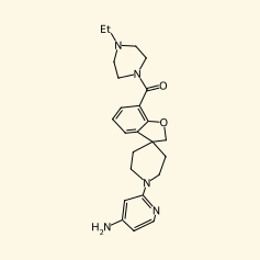 CCN1CCN(C(=O)c2cccc3c2OCC32CCN(c3cc(N)ccn3)CC2)CC1